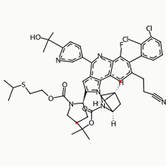 CC(C)SCCOC(=O)N1CCC[C@@H]1c1cc2c(-c3ccc(C(C)(C)O)nc3)nc3c(F)c(-c4cccc(Cl)c4Cl)c(CCC#N)cc3c2n1[C@H]1[C@@H]2C[C@H]1N(C(=O)OC(C)(C)C)C2